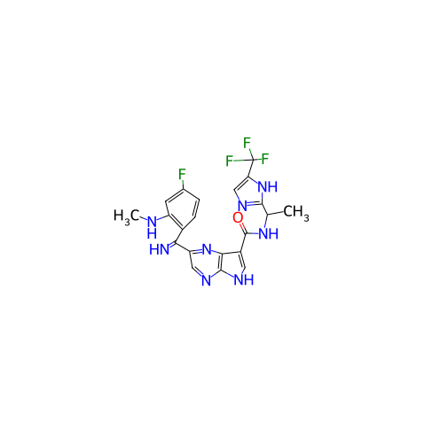 CNc1cc(F)ccc1C(=N)c1cnc2[nH]cc(C(=O)NC(C)c3ncc(C(F)(F)F)[nH]3)c2n1